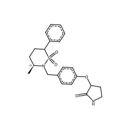 C[C@H]1CCC(c2ccccc2)S(=O)(=O)N1Cc1ccc(OC2CCNC2=O)cc1